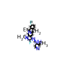 C=N/C=C(F)\C(=N/CNc1ccncc1C)C1=CC(=C)N(C(CC)c2cccc(F)c2)C=C1